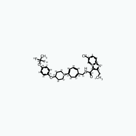 CCc1nc2ccc(Cl)cn2c1C(=O)NCC1=CCC(N2CCC(Oc3ccc(OC(C)(F)F)cc3)CC2)=CC=C1